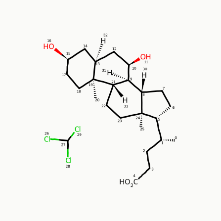 C[C@H](CCC(=O)O)[C@H]1CC[C@H]2[C@@H]3[C@H](O)C[C@@H]4C[C@H](O)CC[C@]4(C)[C@H]3CC[C@]12C.ClC(Cl)Cl